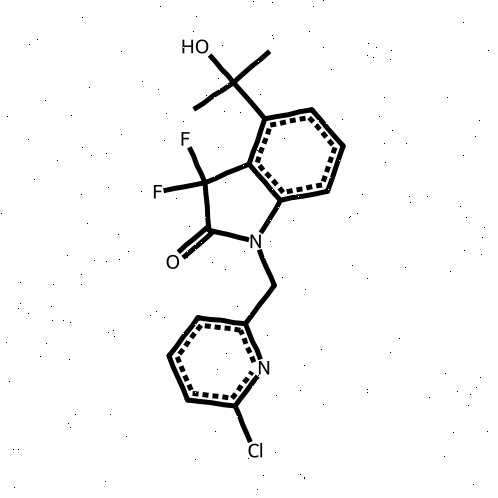 CC(C)(O)c1cccc2c1C(F)(F)C(=O)N2Cc1cccc(Cl)n1